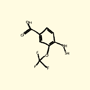 O=C(O)c1ccc(NS)c(OC(F)(F)F)c1